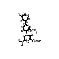 COCC(=O)N(CC(=O)N(C)C)c1ccc(-c2cncc(F)c2)nc1C(F)(F)F